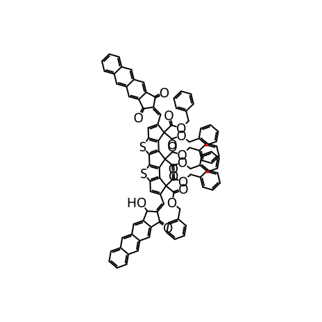 O=C1C(=CC2=Cc3sc4c(c3C2(C(=O)OCc2ccccc2)C(=O)OCc2ccccc2)C(C(=O)OCc2ccccc2)(C(=O)OCc2ccccc2)c2c-4sc3c2C(C(=O)OCc2ccccc2)(C(=O)OCc2ccccc2)C(/C=C2/C(=O)c4cc5cc6ccccc6cc5cc4C2O)=C3)C(=O)c2cc3cc4ccccc4cc3cc21